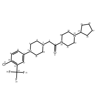 O=C(CN1CCN(c2ccc(Cl)c(C(F)(F)F)c2)CC1)N1CCN(C2CCCC2)CC1